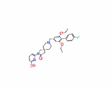 CCOc1cc(CN2CCC3(CC2)CC(=O)N(c2cccc(O)n2)C3)cc(OCC)c1-c1ccc(F)cc1